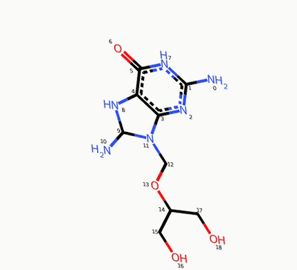 Nc1nc2c(c(=O)[nH]1)NC(N)N2COC(CO)CO